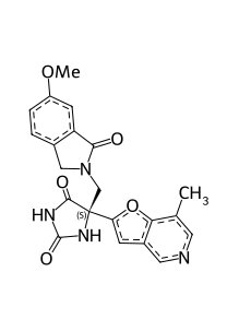 COc1ccc2c(c1)C(=O)N(C[C@@]1(c3cc4cncc(C)c4o3)NC(=O)NC1=O)C2